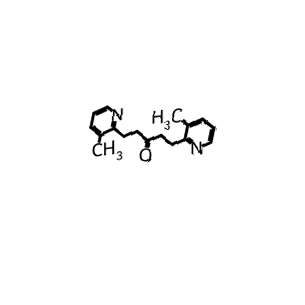 Cc1cccnc1CCC(=O)CCc1ncccc1C